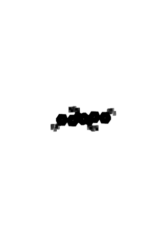 N#C/N=c1\c2cc(-c3cccc(C(F)(F)F)c3)ccc2c2cc3/c(=N/C#N)c4cc(-c5cccc(C(F)(F)F)c5)ccc4c3cc12